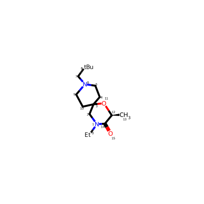 CCN1CC2(CCN(CC(C)(C)C)CC2)O[C@@H](C)C1=O